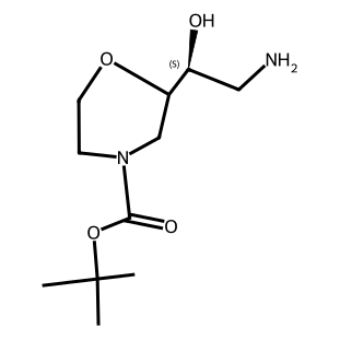 CC(C)(C)OC(=O)N1CCOC([C@@H](O)CN)C1